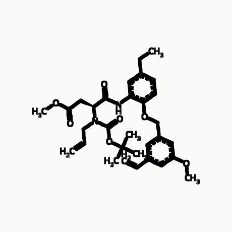 C=CCN(C(=O)OC(C)(C)C)[C@@H](CC(=O)OC)C(=O)Nc1cc(CC)ccc1OCc1cc(C=C)cc(OC)c1